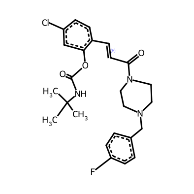 CC(C)(C)NC(=O)Oc1cc(Cl)ccc1/C=C/C(=O)N1CCN(Cc2ccc(F)cc2)CC1